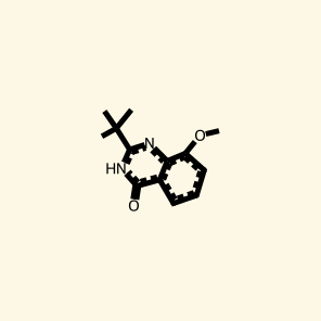 COc1cccc2c(=O)[nH]c(C(C)(C)C)nc12